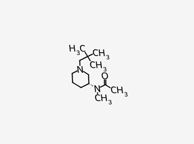 CC(=O)N(C)[C@@H]1CCCN(CC(C)(C)C)C1